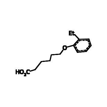 CCc1ccccc1OCCCCCC(=O)O